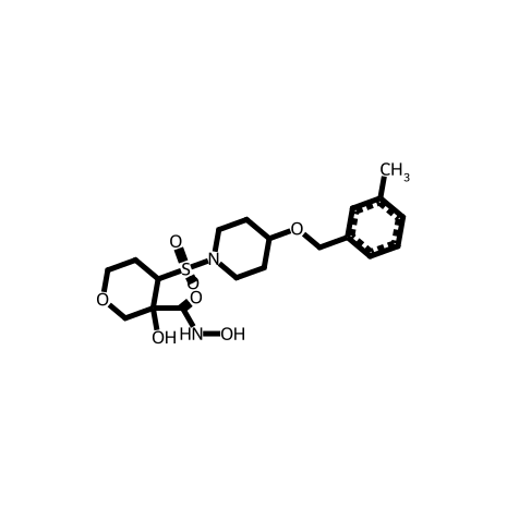 Cc1cccc(COC2CCN(S(=O)(=O)C3CCOCC3(O)C(=O)NO)CC2)c1